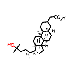 C[C@H](CCC(C)(C)O)[C@H]1CC[C@H]2[C@@H]3CC[C@@H]4CC(CC(=O)O)CC[C@]4(C)[C@H]3CC[C@]12C